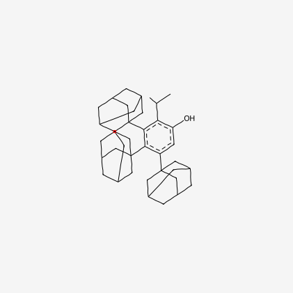 CC(C)c1c(O)cc(C23CC4CC(CC(C4)C2)C3)c(C23CC4CC(CC(C4)C2)C3)c1C12CC3CC(CC(C3)C1)C2